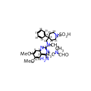 CN(C)C=O.COc1cc2nc(N(C)CC3(c4ccccc4)CCN(S(=O)(=O)O)CC3)nc(N)c2cc1OC